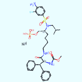 COC(=O)N[C@H](C(=O)NCCCC[C@@H](COP(=O)(O)O)N(CC(C)C)S(=O)(=O)c1ccc(N)c(F)c1)C(c1ccccc1)c1ccccc1.[NaH]